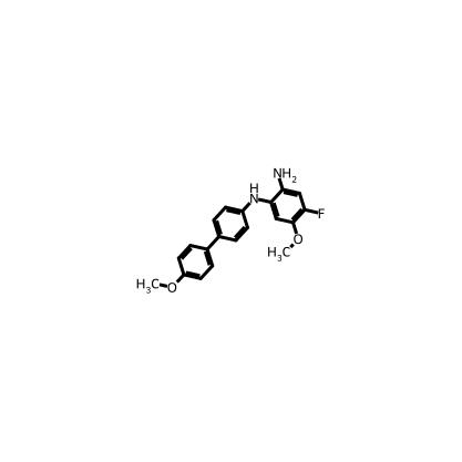 COc1ccc(-c2ccc(Nc3cc(OC)c(F)cc3N)cc2)cc1